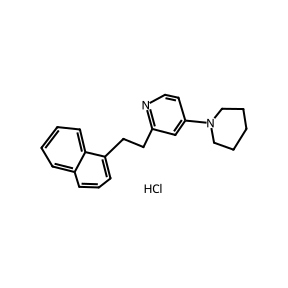 Cl.c1ccc2c(CCc3cc(N4CCCCC4)ccn3)cccc2c1